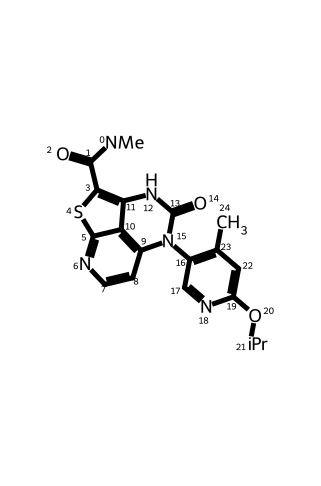 CNC(=O)c1sc2nccc3c2c1NC(=O)N3c1cnc(OC(C)C)cc1C